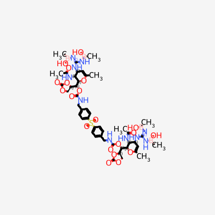 CB(O)/N=C(/NB(C)O)N[C@H]1C=C(C)O[C@@H]([C@H](OC(=O)NCc2ccc(S(=O)(=O)c3ccc(CNC(=O)O[C@@H]([C@@H]4OC(C)=C[C@H](N/C(=N\B(C)O)NB(C)O)[C@H]4NC(C)=O)[C@H]4COC(=O)O4)cc3)cc2)[C@H]2COC(=O)O2)[C@@H]1NC(C)=O